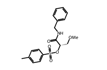 COC[C@H](OS(=O)(=O)c1ccc(C)cc1)C(=O)NCc1ccccc1